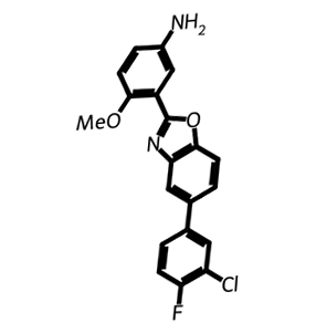 COc1ccc(N)cc1-c1nc2cc(-c3ccc(F)c(Cl)c3)ccc2o1